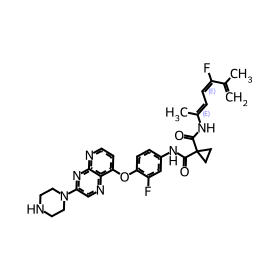 C=C(C)/C(F)=C\C=C(/C)NC(=O)C1(C(=O)Nc2ccc(Oc3ccnc4nc(N5CCNCC5)cnc34)c(F)c2)CC1